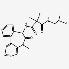 CN1C(=O)C(NC(=O)C(C)(F)C(=O)NCC(F)F)c2ccccc2-c2ccccc21